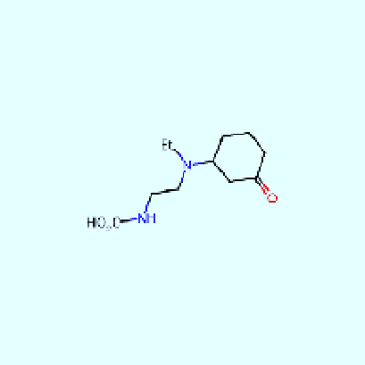 CCN(CCNC(=O)O)C1CCCC(=O)C1